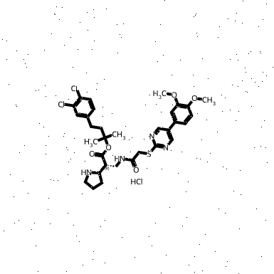 COc1ccc(-c2cnc(SCC(=O)NC[C@@H](C(=O)OC(C)(C)CCc3ccc(Cl)c(Cl)c3)C3CCCN3)nc2)cc1OC.Cl